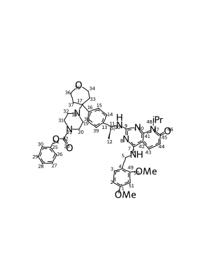 COc1ccc(CNc2nc(N[C@@H](C)c3ccc(C4(N5CCN(C(=O)Oc6ccccc6)CC5)CCOCC4)cc3)nc3c2ccc(=O)n3C(C)C)c(OC)c1